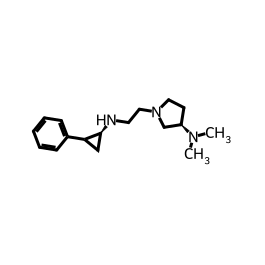 CN(C)[C@@H]1CCN(CCN[C@H]2CC2c2ccccc2)C1